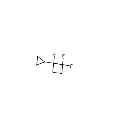 FC1(F)CCC1(F)C1CC1